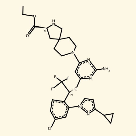 CCOC(=O)[C@@H]1CC2(CCN(c3cc(O[C@H](c4ccc(Cl)cc4-n4ccc(C5CC5)n4)C(F)(F)F)nc(N)n3)CC2)CN1